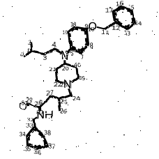 CC(C)CCN(c1ccc(OCc2ccccc2)cc1)C1CCN(CC(C)CC(C=O)NCc2ccccc2)CC1